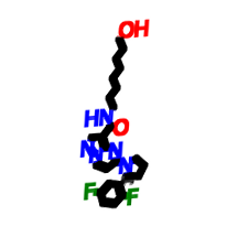 O=C(NCCCCCCCCO)c1cnn2ccc(N3CCC[C@@H]3c3cc(F)ccc3F)nc12